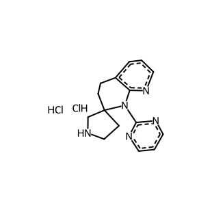 Cl.Cl.c1cnc(N2c3ncccc3CCC23CCNC3)nc1